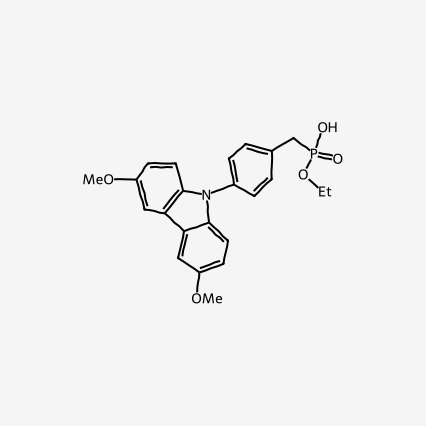 CCOP(=O)(O)Cc1ccc(-n2c3ccc(OC)cc3c3cc(OC)ccc32)cc1